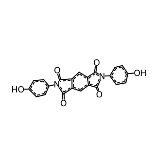 O=c1c2cc3c(=O)n(-c4ccc(O)cc4)c(=O)c3cc2c(=O)n1-c1ccc(O)cc1